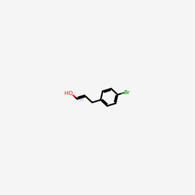 O/C=C/Cc1ccc(Br)cc1